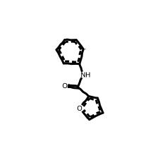 O=C(Nc1[c]cccc1)c1ccco1